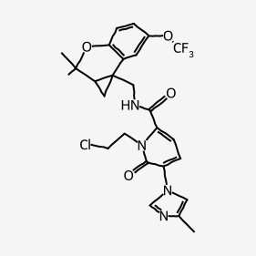 Cc1cn(-c2ccc(C(=O)NCC34CC3C(C)(C)Oc3ccc(OC(F)(F)F)cc34)n(CCCl)c2=O)cn1